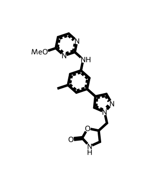 COc1ccnc(Nc2cc(C)cc(-c3cnn(CC4CNC(=O)O4)c3)c2)n1